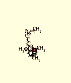 CCCSC(=O)OCCCS[C@@H]1O[C@@H]2O[C@]3(C)CC[C@H]4[C@H](C)CC[C@@H]([C@H]1C)[C@@]24OO3